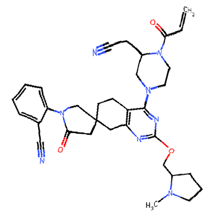 C=CC(=O)N1CCN(c2nc(OCC3CCCN3C)nc3c2CCC2(CC(=O)N(c4ccccc4C#N)C2)C3)CC1CC#N